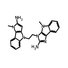 Cn1c(N)cc2c1c1ccccc1n2CCn1c(N)nc2c3ccccc3n(C)c21